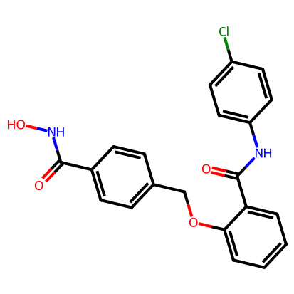 O=C(NO)c1ccc(COc2ccccc2C(=O)Nc2ccc(Cl)cc2)cc1